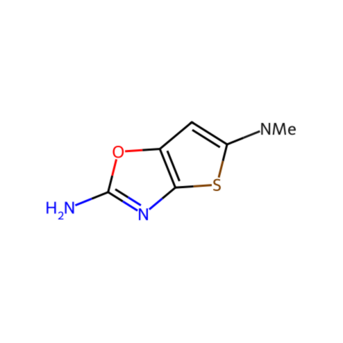 CNc1cc2oc(N)nc2s1